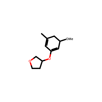 COC1C=C(OC2CCOC2)C=C(C)C1